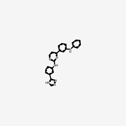 c1ccc(Nc2cccc(-c3ccnc(Nc4cccc(-c5nnc[nH]5)c4)n3)c2)cc1